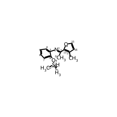 CC(=Nc1ccccc1O[SiH](C)C)c1occc1C